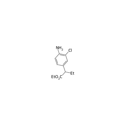 CCOC(=O)C(CC)c1ccc(N)c(Cl)c1